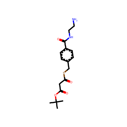 CC(C)(C)OC(=O)CC(=O)SCc1ccc(C(=O)NCCN)cc1